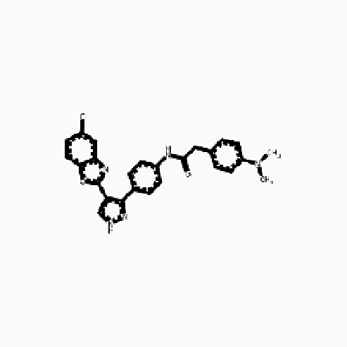 CN(C)c1ccc(CC(=O)Nc2ccc(-c3n[nH]cc3-c3nc4cc(Cl)ccc4o3)cc2)cc1